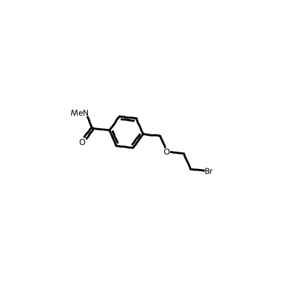 CNC(=O)c1ccc(COCCBr)cc1